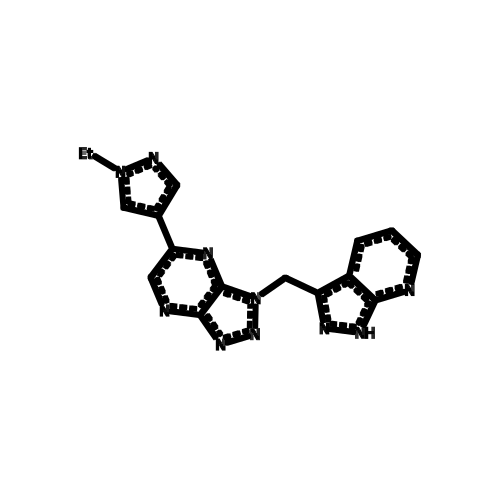 CCn1cc(-c2cnc3nnn(Cc4n[nH]c5ncccc45)c3n2)cn1